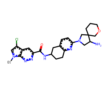 CCn1cc(Cl)c2cc(C(=O)NC3CCc4nc(N5CC(N)C6(CCCOC6)C5)ccc4C3)nnc21